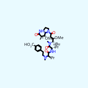 CC[C@H](C)[C@@H]([C@@H](CC(=O)N1CCC[C@H]1[C@H](OC)[C@@H](C)C(N)=O)OC)N(C)C(=O)[C@@H](NC(=O)C(C(C)C)N(C)CCc1ccc(C(=O)O)cc1)C(C)C